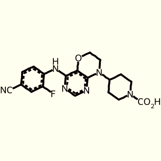 N#Cc1ccc(Nc2ncnc3c2OCCN3C2CCN(C(=O)O)CC2)c(F)c1